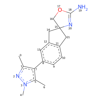 Cc1nn(C)c(C)c1-c1ccc2c(c1)CC1(COC(N)=N1)C2